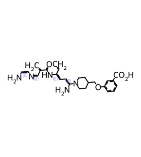 C=C/C(=C\C=C(/N)N1CCC(COc2cccc(C(=O)O)c2)CC1)NC(=O)C(=C)/C=N\C=C/N